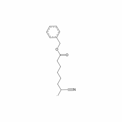 [CH2]C(C#N)CCCCCC(=O)OCc1ccccc1